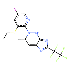 CCSc1cc(I)cnc1N1NC2=NC(C(F)(F)C(F)(F)F)=NC2=CC1C